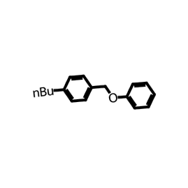 [CH2]CCCc1ccc(COc2ccccc2)cc1